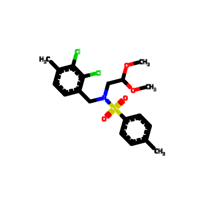 COC(CN(Cc1ccc(C)c(Cl)c1Cl)S(=O)(=O)c1ccc(C)cc1)OC